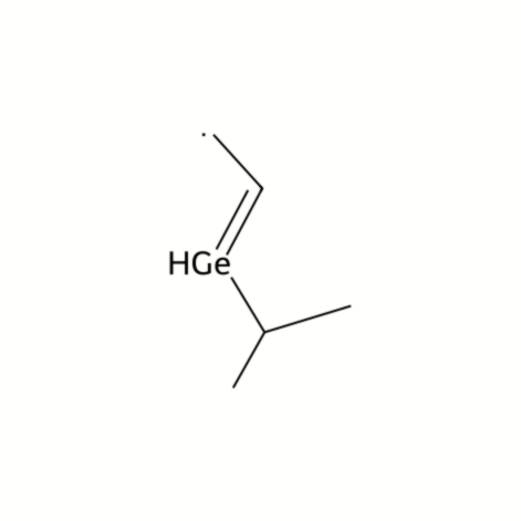 [CH2][CH]=[GeH][CH](C)C